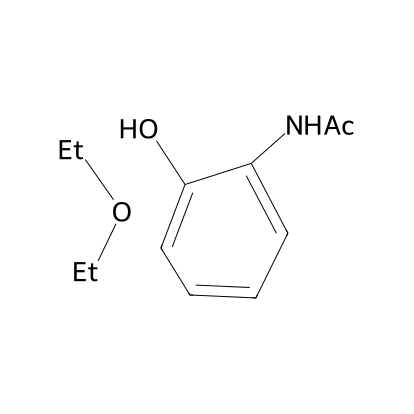 CC(=O)Nc1ccccc1O.CCOCC